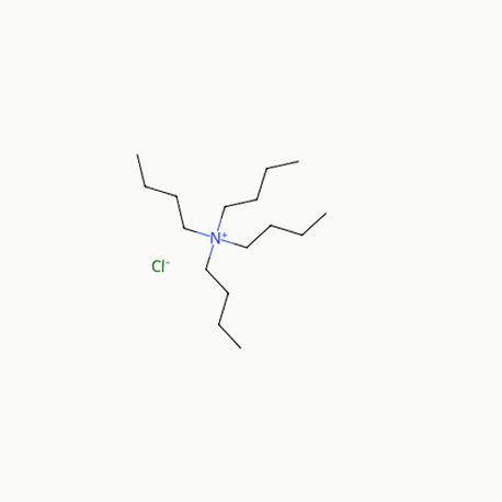 CCCC[N+](CCCC)(CCCC)CCCC.[Cl-]